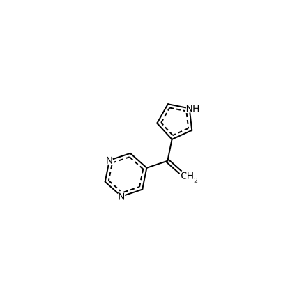 C=C(c1cncnc1)c1cc[nH]c1